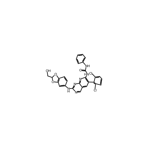 O=C(Nc1ccccc1)Nc1nc2nc(Nc3ccc4c(c3)OC(CO)O4)ncc2cc1-c1c(Cl)cccc1Cl